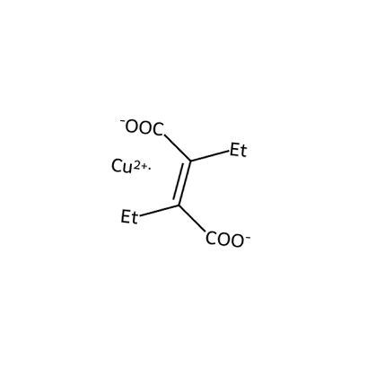 CC/C(C(=O)[O-])=C(/CC)C(=O)[O-].[Cu+2]